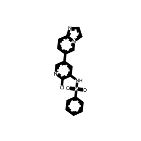 O=S(=O)(Nc1cc(-c2ccc3nccn3c2)cnc1Cl)c1ccccc1